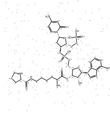 Nc1ccn([C@H]2C[C@H](OP(=O)(O)OC[C@@H]3O[C@@H](n4cnc5c(N)ncnc54)[C@H](O)[C@@H]3OC(=O)C(N)CCCCNC(=O)[C@@H]3CSCN3)[C@@H](COP(=O)(O)O)O2)c(=O)n1